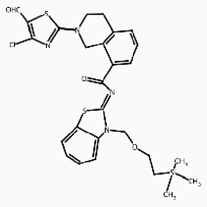 C[Si](C)(C)CCOCn1c(=NC(=O)c2cccc3c2CN(c2nc(Cl)c(C=O)s2)CC3)sc2ccccc21